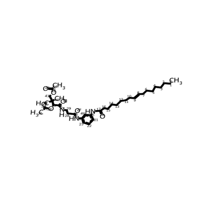 CCCCCCCCC=CCCCCCCCC(=O)Nc1cccc(NC(=O)CCNC(=O)C(OC(C)=O)C(C)(C)COC(C)=O)c1